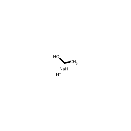 CCO.[H+].[NaH]